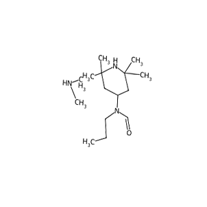 CCCN(C=O)C1CC(C)(C)NC(C)(C)C1.CNC